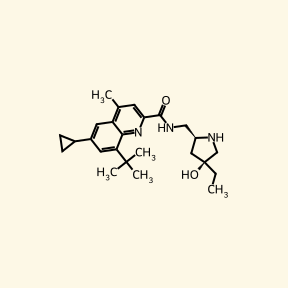 CC[C@@]1(O)CN[C@H](CNC(=O)c2cc(C)c3cc(C4CC4)cc(C(C)(C)C)c3n2)C1